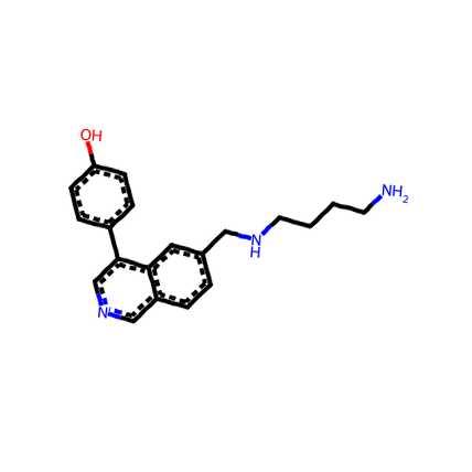 NCCCCNCc1ccc2cncc(-c3ccc(O)cc3)c2c1